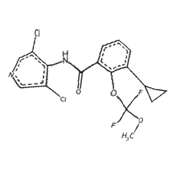 COC(F)(F)Oc1c(C(=O)Nc2c(Cl)cncc2Cl)cccc1C1CC1